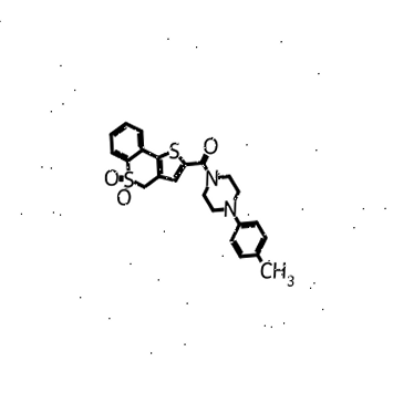 Cc1ccc(N2CCN(C(=O)c3cc4c(s3)-c3ccccc3S(=O)(=O)C4)CC2)cc1